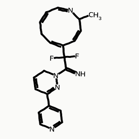 CC1/C=C\C(C(F)(F)C(=N)N2CC=CC(c3ccncc3)=N2)=C/C/C=C\C=N/1